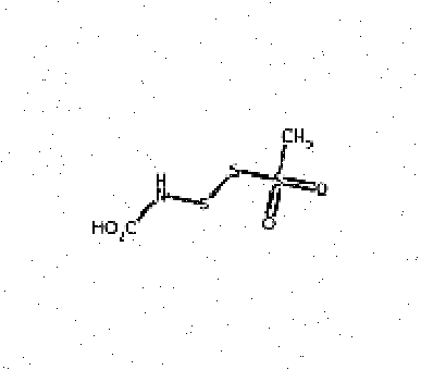 CS(=O)(=O)SSNC(=O)O